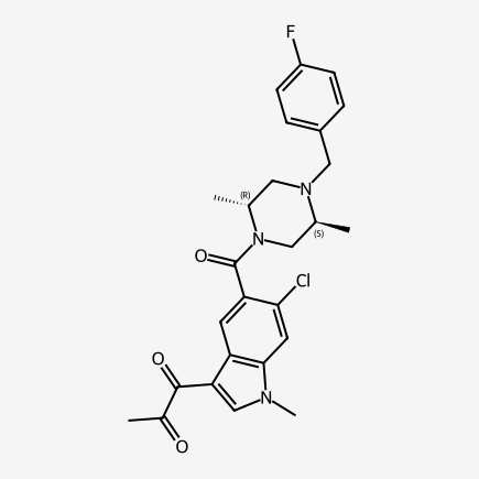 CC(=O)C(=O)c1cn(C)c2cc(Cl)c(C(=O)N3C[C@H](C)N(Cc4ccc(F)cc4)C[C@H]3C)cc12